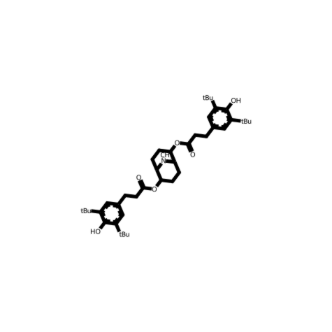 CN1C2CCC(OC(=O)CCc3cc(C(C)(C)C)c(O)c(C(C)(C)C)c3)C1CCC2OC(=O)CCc1cc(C(C)(C)C)c(O)c(C(C)(C)C)c1